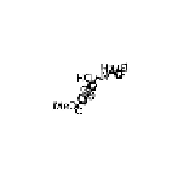 COC(=O)c1ccc(S(=O)(=O)c2ccc(CCNC[C@H](O)c3cccc(Cl)c3)cc2)cc1.Cl